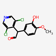 COc1ccc(C(C=O)c2c(Cl)cncc2Cl)cc1O